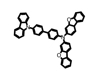 C1=CC2c3ccccc3OC2C=C1N(c1ccc(-c2ccc(-n3c4ccccc4c4ccccc43)cc2)cc1)c1ccc2c(c1)oc1ccccc12